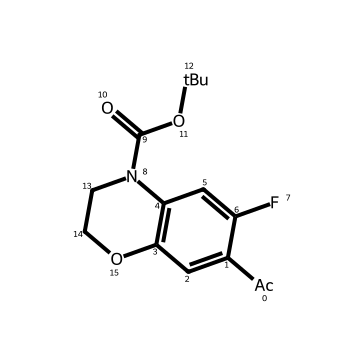 CC(=O)c1cc2c(cc1F)N(C(=O)OC(C)(C)C)CCO2